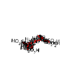 Cc1cc(C(=O)NCCN(CCCN(CCNC(=O)c2cc(C)n(CC(=O)O)c(=O)c2O)CCNC(=O)c2cc(C)n(CC(=O)NC[C@H]3CC[C@H](C(=O)N[C@@H](Cc4ccc5ccccc5n4)C(=O)NCCCC[C@H](NC(=O)N[C@@H](CCC(=O)O)C(=O)O)C(=O)O)CC3)c(=O)c2O)CCNC(=O)c2cc(C)n(CC(=O)O)c(=O)c2O)c(O)c(=O)n1CC(=O)O